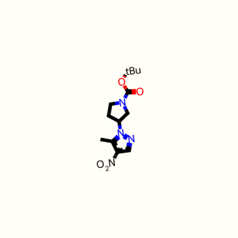 Cc1c([N+](=O)[O-])cnn1C1CCN(C(=O)OC(C)(C)C)C1